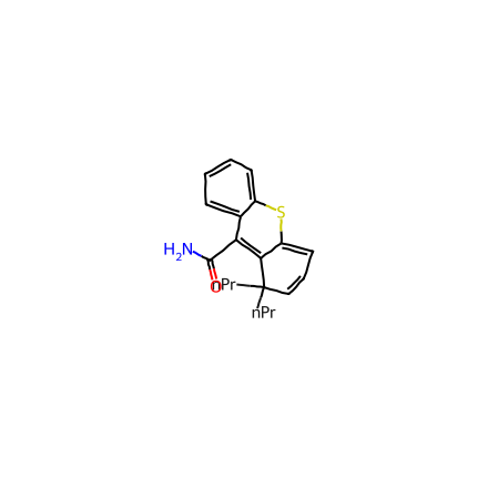 CCCC1(CCC)C=CC=C2Sc3ccccc3C(C(N)=O)=C21